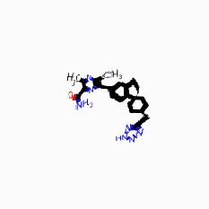 Cc1nc(C)c(-c2ccc3c(c2)CC[C@]32CC[C@H](Cc3nn[nH]n3)CC2)nc1C(N)=O